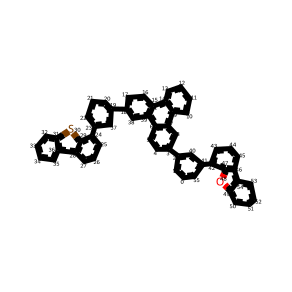 c1cc(-c2ccc3c(c2)c2ccccc2c2ccc(-c4cccc(-c5cccc6c5sc5ccccc56)c4)cc23)cc(-c2cccc3c2oc2ccccc23)c1